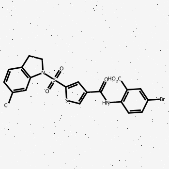 O=C(Nc1ccc(Br)cc1C(=O)O)c1csc(S(=O)(=O)N2CCc3ccc(Cl)cc32)c1